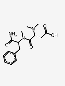 CN(C)[C@H](CC(=O)O)C(=O)N(C)[C@@H](Cc1ccccc1)C(N)=O